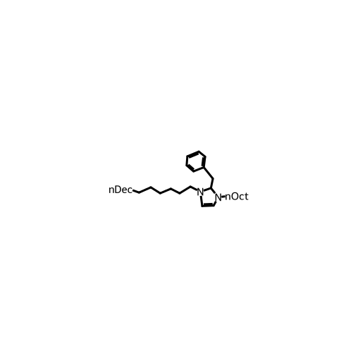 CCCCCCCCCCCCCCCCN1C=CN(CCCCCCCC)C1Cc1ccccc1